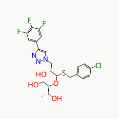 C[C@@H](O)C(CO)O[C@H](SCc1ccc(Cl)cc1)[C@H](O)Cn1cc(-c2cc(F)c(F)c(F)c2)nn1